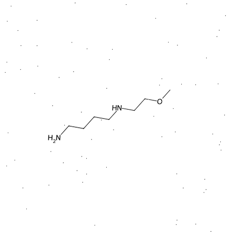 COCCNCCCCN